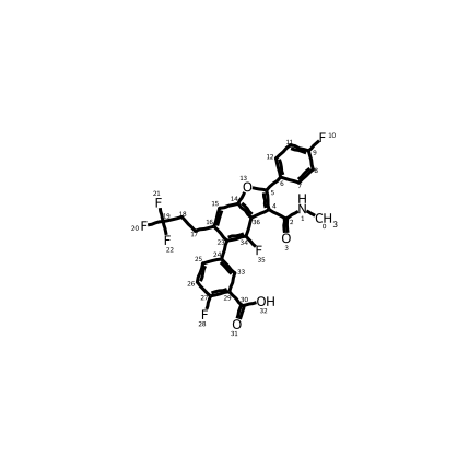 CNC(=O)c1c(-c2ccc(F)cc2)oc2cc(CCC(F)(F)F)c(-c3ccc(F)c(C(=O)O)c3)c(F)c12